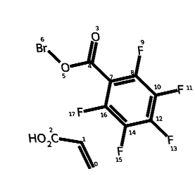 C=CC(=O)O.O=C(OBr)c1c(F)c(F)c(F)c(F)c1F